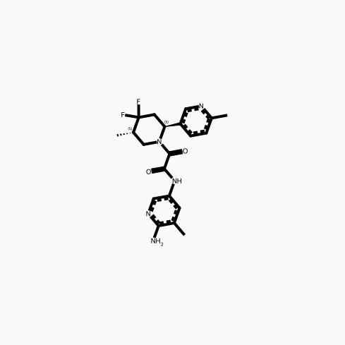 Cc1ccc([C@@H]2CC(F)(F)[C@@H](C)CN2C(=O)C(=O)Nc2cnc(N)c(C)c2)cn1